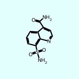 NC(=O)c1ccnc2c(S(N)(=O)=O)cccc12